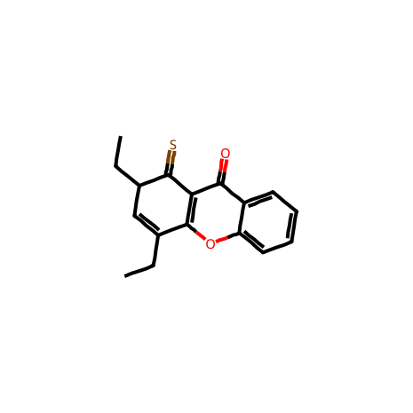 CCC1=CC(CC)C(=S)c2c1oc1ccccc1c2=O